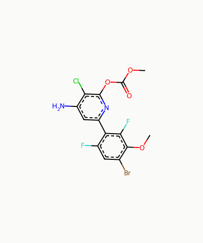 COC(=O)Oc1nc(-c2c(F)cc(Br)c(OC)c2F)cc(N)c1Cl